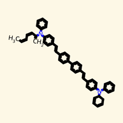 C=C(/C=C\C=C/C)N(c1ccccc1)c1ccc(/C=C/c2ccc(-c3ccc(/C=C/c4ccc(N(c5ccccc5)C5C=CC=CC5)cc4)cc3)cc2)cc1